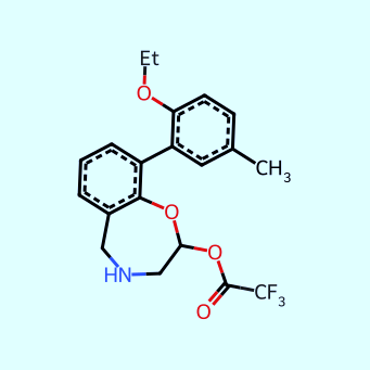 CCOc1ccc(C)cc1-c1cccc2c1OC(OC(=O)C(F)(F)F)CNC2